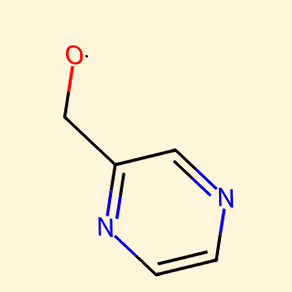 [O]Cc1cnccn1